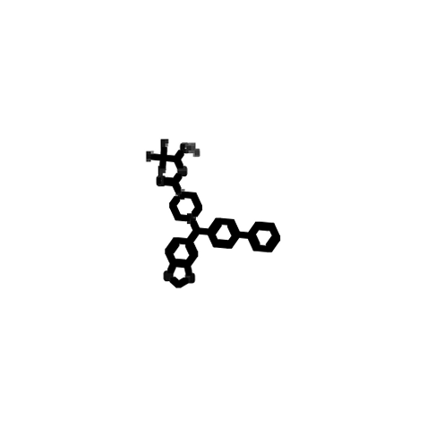 CC(OC(=O)N1CCN(C(c2ccc(-c3ccccc3)cc2)c2ccc3c(c2)OCO3)CC1)C(F)(F)F